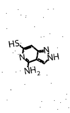 Nc1nc(S)cc2n[nH]cc12